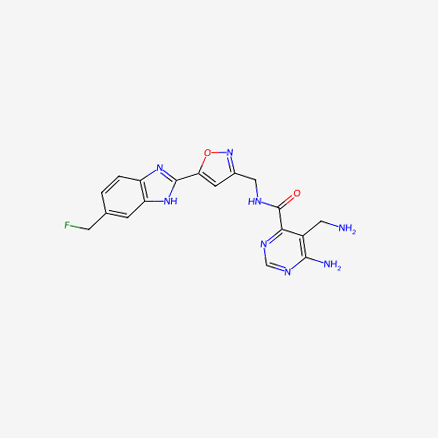 NCc1c(N)ncnc1C(=O)NCc1cc(-c2nc3ccc(CF)cc3[nH]2)on1